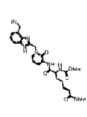 CNC(=O)C=CCCC(NC(=O)OC)C(=O)Nc1cccn(Cc2nc3c(CC(C)C)cccc3[nH]2)c1=O